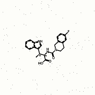 C[C@@H](c1c[nH]c2ccccc12)[C@@H](NC(=O)N1CCc2cc(F)ccc2C1)C(=O)O